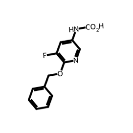 O=C(O)Nc1cnc(OCc2ccccc2)c(F)c1